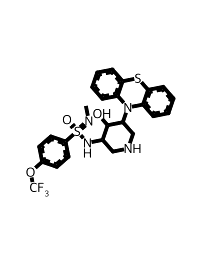 CN=S(=O)(NC1CNCC(N2c3ccccc3Sc3ccccc32)C1O)c1ccc(OC(F)(F)F)cc1